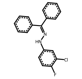 Fc1ccc(NN=C(c2ccccc2)c2ccccc2)cc1Cl